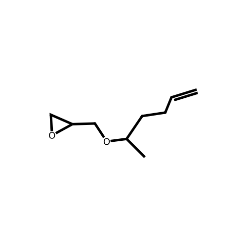 C=CCCC(C)OCC1CO1